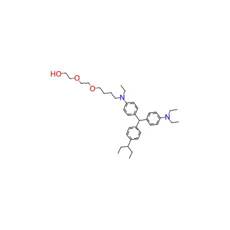 CCC(CC)c1ccc(C(c2ccc(N(CC)CC)cc2)c2ccc(N(CC)CCCCOCCOCCO)cc2)cc1